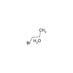 CCCBr.O